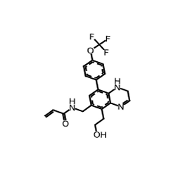 C=CC(=O)NCc1cc(-c2ccc(OC(F)(F)F)cc2)c2c(c1CCO)N=CCN2